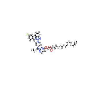 CC/C=C\C/C=C\C/C=C\CCCCCCCC(=O)OCOc1ccnc(N(C)C2CCN(c3nc4ccccc4n3Cc3ccc(F)cc3)CC2)n1